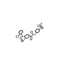 CCS(=O)(=O)c1ccc(CC(=O)Nc2ccc(C(=O)c3ccccc3Cl)c(Br)c2)cc1